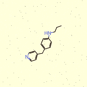 CCCNc1ccc(Cc2ccncc2)cc1